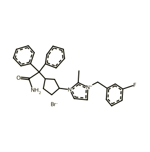 Cc1n(C2CCC(C(C(N)=O)(c3ccccc3)c3ccccc3)C2)cc[n+]1Cc1cccc(F)c1.[Br-]